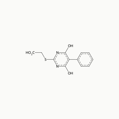 O=C(O)CSc1nc(O)c(-c2ccccc2)c(O)n1